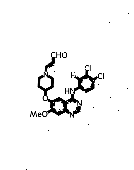 COc1cc2ncnc(Nc3ccc(Cl)c(Cl)c3F)c2cc1OC1CCN(C=CC=O)CC1